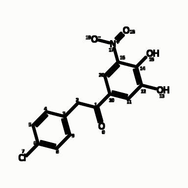 O=C(Cc1ccc(Cl)cc1)c1cc(O)c(O)c([N+](=O)[O-])c1